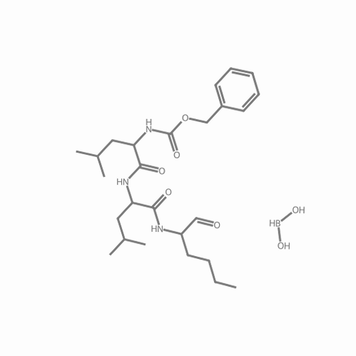 CCCCC(C=O)NC(=O)C(CC(C)C)NC(=O)C(CC(C)C)NC(=O)OCc1ccccc1.OBO